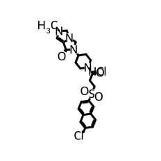 CN1C=C2C(=O)N(C3CCN(C(=O)CCS(=O)(=O)c4ccc5cc(Cl)ccc5c4)CC3)CN2C1.Cl